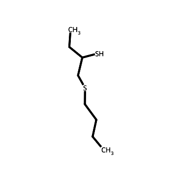 CCCCSCC(S)CC